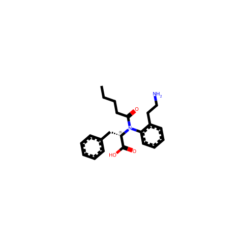 CCCCC(=O)N(c1ccccc1CCN)[C@@H](Cc1ccccc1)C(=O)O